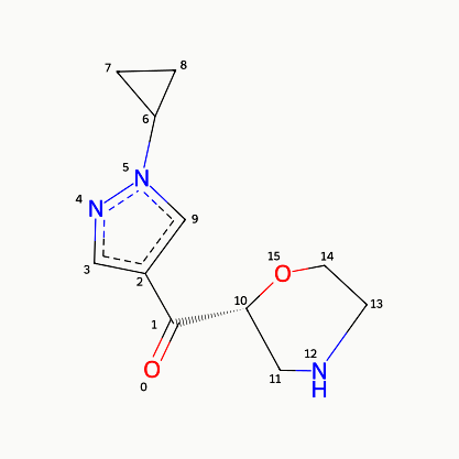 O=C(c1cnn(C2CC2)c1)[C@H]1CNCCO1